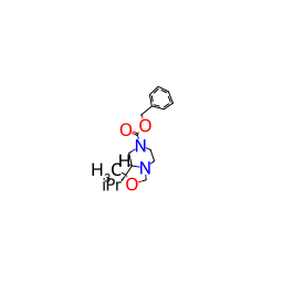 CC(C)[C@]1(C)OCN2CCN(C(=O)OCc3ccccc3)C[C@H]21